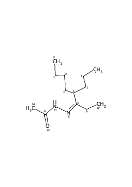 CCCCC(CCC)/C(CC)=N\NC(C)=O